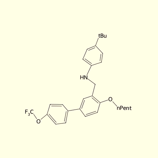 CCCCCOc1ccc(-c2ccc(OC(F)(F)F)cc2)cc1CNc1ccc(C(C)(C)C)cc1